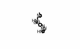 Cc1cccc(CCNS(=O)(=O)C[C@H]2CC[C@H](N(C)c3ncc4cc[nH]c4n3)CC2)n1